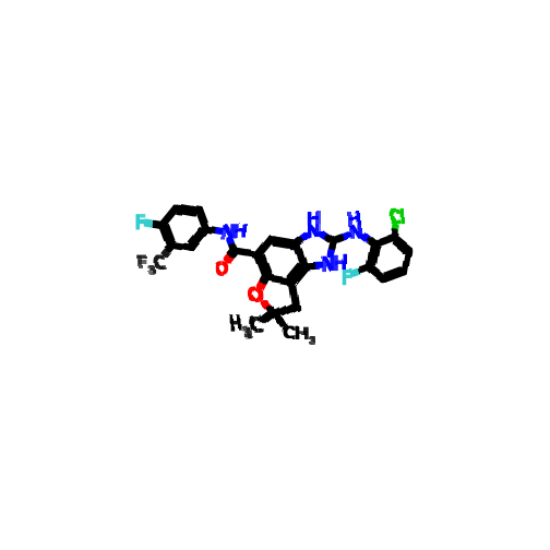 CC1(C)Cc2c3c(cc(C(=O)Nc4ccc(F)c(C(F)(F)F)c4)c2O1)NC(Nc1c(F)cccc1Cl)N3